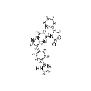 O=C1OCC(c2ccccn2)N1c1ccn2ncc(-c3ccc(-c4ncc[nH]4)cc3)c2n1